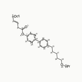 CCCCCCCCC=CCC(=O)Oc1cnc(-c2ccc(CCCCCOCCC)cc2)nc1